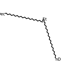 CCCCCCCCCCCCCCCCCCCCCCCCCCCCCCN(CC)CCCCCCCCCCCCCCCCCCCCCCCCCCCCCC